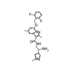 Cc1cc(OCc2c(F)cccc2F)n2nc(C)c(C(=O)NCC(N)c3cnn(C)c3)c2c1